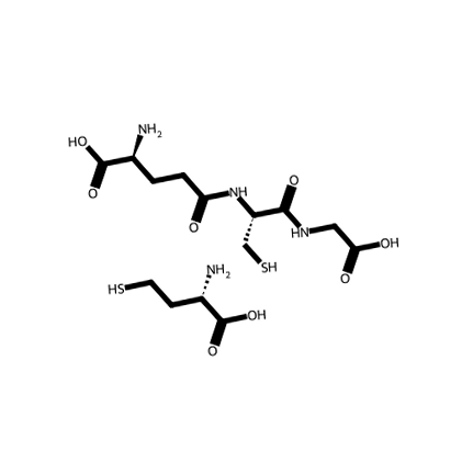 N[C@@H](CCC(=O)N[C@@H](CS)C(=O)NCC(=O)O)C(=O)O.N[C@@H](CCS)C(=O)O